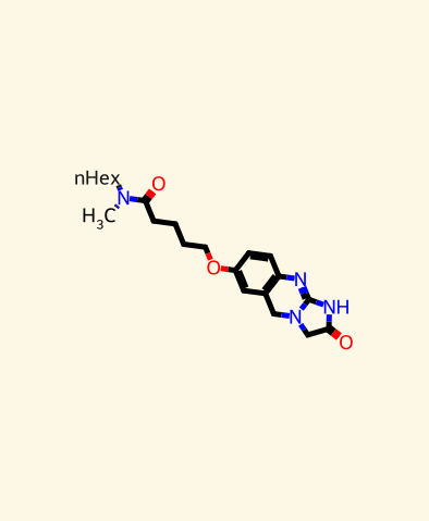 CCCCCCN(C)C(=O)CCCCOc1ccc2c(c1)CN1CC(=O)NC1=N2